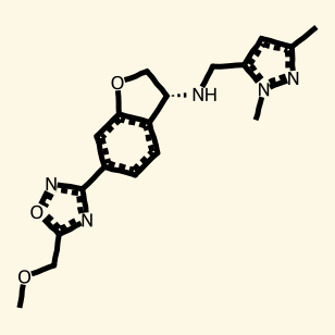 COCc1nc(-c2ccc3c(c2)OC[C@@H]3NCc2cc(C)nn2C)no1